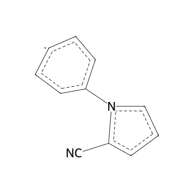 N#Cc1cccn1-c1cc[c]cc1